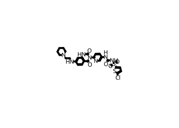 O=C(Nc1ccc(-n2c(=O)[nH]c3cc(NCCN4CCCCC4)ccc3c2=O)nc1)NS(=O)(=O)c1ccc(Cl)s1